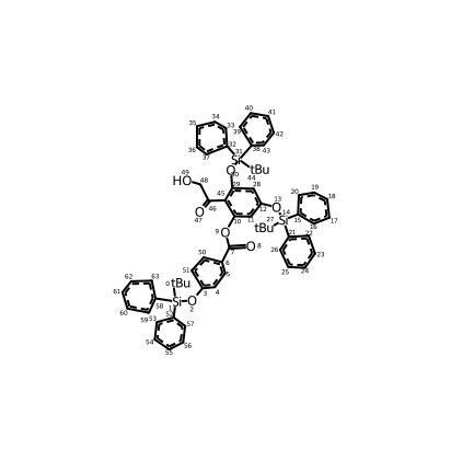 CC(C)(C)[Si](Oc1ccc(C(=O)Oc2cc(O[Si](c3ccccc3)(c3ccccc3)C(C)(C)C)cc(O[Si](c3ccccc3)(c3ccccc3)C(C)(C)C)c2C(=O)CO)cc1)(c1ccccc1)c1ccccc1